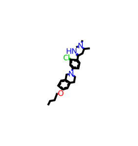 CCCCOc1ccc2c(c1)CCN(c1ccc(C(=N)CC(C)N(C)C)c(Cl)c1)C2